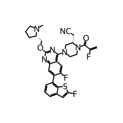 C=C(F)C(=O)N1CCN(c2nc(OC[C@@H]3CCCN3C)nc3cc(-c4cccc5cc(F)sc45)c(F)cc23)C[C@@H]1CC#N